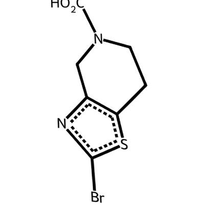 O=C(O)N1CCc2sc(Br)nc2C1